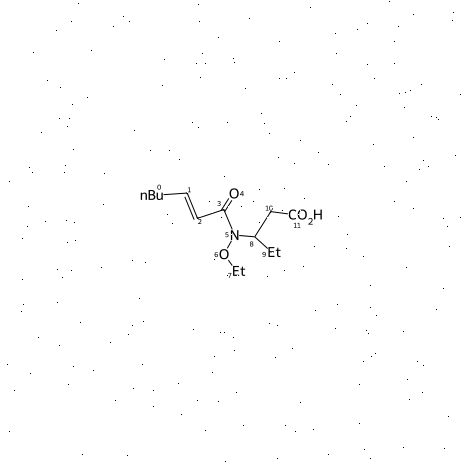 CCCCC=CC(=O)N(OCC)C(CC)CC(=O)O